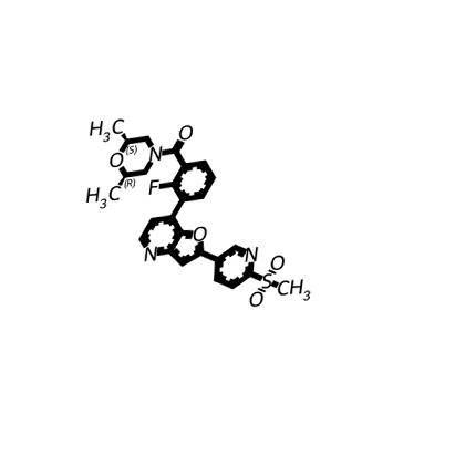 C[C@@H]1CN(C(=O)c2cccc(-c3ccnc4cc(-c5ccc(S(C)(=O)=O)nc5)oc34)c2F)C[C@H](C)O1